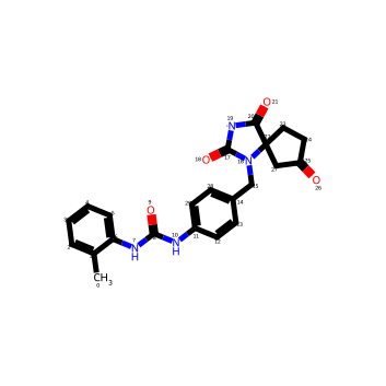 Cc1ccccc1NC(=O)Nc1ccc(CN2C(=O)[N]C(=O)C23CCC(=O)C3)cc1